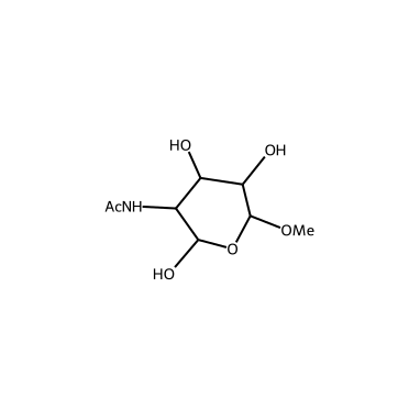 COC1OC(O)C(NC(C)=O)C(O)C1O